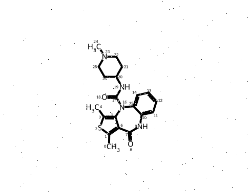 Cc1sc(C)c2c1C(=O)Nc1ccccc1N2C(=O)NC1CCN(C)CC1